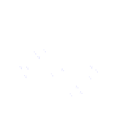 c1ccn2nc(-c3ccc4c(c3)c3c(-c5nc6ccccn6n5)ccc5c3n4c3ccc(-c4nc6ccccn6n4)c4c6cc(-c7nc8ccccn8n7)ccc6n5c43)nc2c1